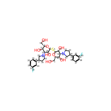 OC[C@H]1O[C@@H](S[C@@H]2O[C@H](CO)[C@H](O)[C@H](N3CCC(c4cccc(F)c4)C3)[C@H]2O)[C@H](O)[C@@H](N2CCC(c3cccc(F)c3)C2)[C@H]1O